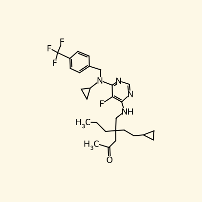 CCCC(CCC1CC1)(CNc1ncnc(N(Cc2ccc(C(F)(F)F)cc2)C2CC2)c1F)CC(C)=O